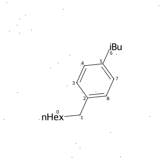 [CH2]CCCCCCc1ccc(C(C)CC)cc1